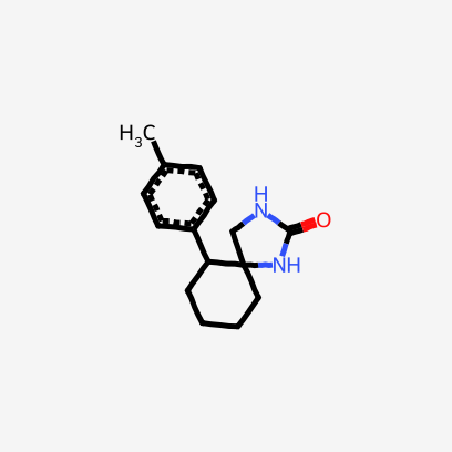 Cc1ccc(C2CCCCC23CNC(=O)N3)cc1